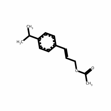 CC(=O)OCC=Cc1ccc(C(C)C)cc1